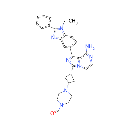 CCn1c(-c2ccccc2)nc2cc(-c3nc([C@H]4C[C@@H](N5CCN(C=O)CC5)C4)n4ccnc(N)c34)ccc21